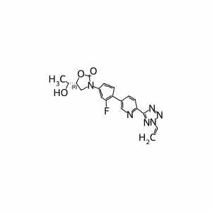 C=Cn1nnc(-c2ccc(-c3ccc(N4C[C@H](C(C)O)OC4=O)cc3F)cn2)n1